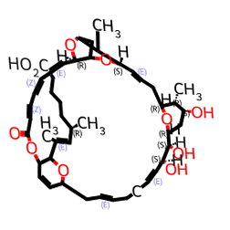 C/C(=C\[C@H](C)CCCCC(=O)O)C1OC2C=CC1OC(=O)\C=C/C=C\C=C\[C@H]1OC3CC1O[C@@H](/C=C/C[C@H]1O[C@H](C[C@H](O)[C@H]1C)[C@@H](O)[C@@H](O)/C=C/CC/C=C/C2)C3C